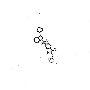 O=C(NCC1CCCO1)c1ccc(S(=O)(=O)n2cc(-c3ccccc3)c3ccccc32)cc1